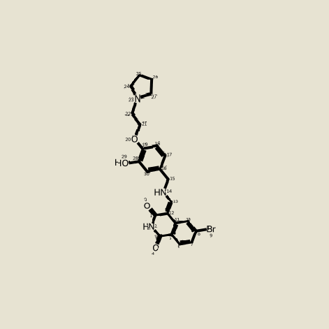 O=C1NC(=O)c2ccc(Br)cc2/C1=C/NCc1ccc(OCCN2CCCC2)c(O)c1